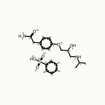 CC(C)NCC(O)COc1ccc(CC(N)=O)cc1.O=S(=O)(O)c1ccccc1